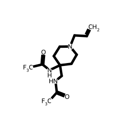 C=CCN1CCC(CNC(=O)C(F)(F)F)(NC(=O)C(F)(F)F)CC1